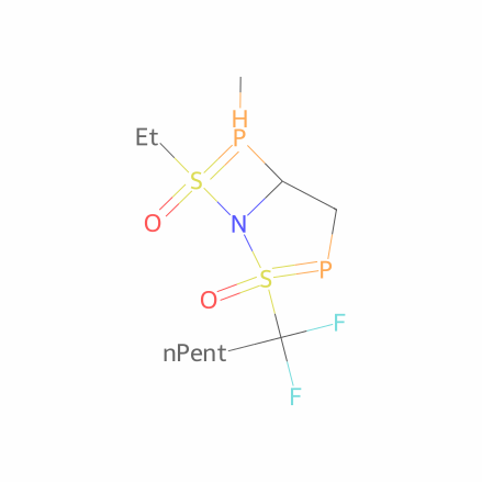 CCCCCC(F)(F)S1(=O)=PCC2N1S(=O)(CC)=[PH]2C